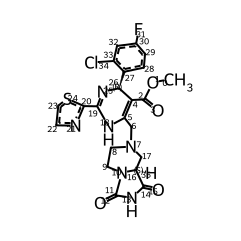 COC(=O)C1=C(CN2CCN3C(=O)NC(=O)[C@@H]3C2)NC(c2nccs2)=N[C@H]1c1ccc(F)cc1Cl